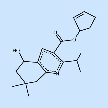 CC(C)c1nc2c(cc1C(=O)OC1C=CCC1)C(O)CC(C)(C)C2